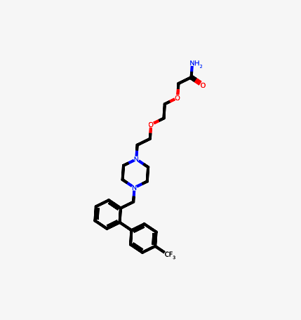 NC(=O)COCCOCCN1CCN(Cc2ccccc2-c2ccc(C(F)(F)F)cc2)CC1